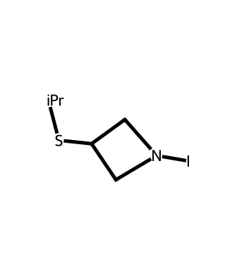 CC(C)SC1CN(I)C1